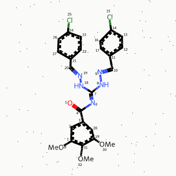 COc1cc(C(=O)N=C(NN=Cc2ccc(Cl)cc2)NN=Cc2ccc(Cl)cc2)cc(OC)c1OC